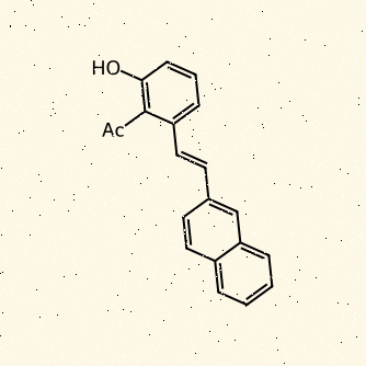 CC(=O)c1c(O)cccc1/C=C/c1ccc2ccccc2c1